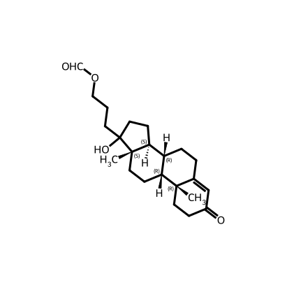 C[C@]12CCC(=O)C=C1CC[C@@H]1[C@H]2CC[C@@]2(C)[C@H]1CCC2(O)CCCOC=O